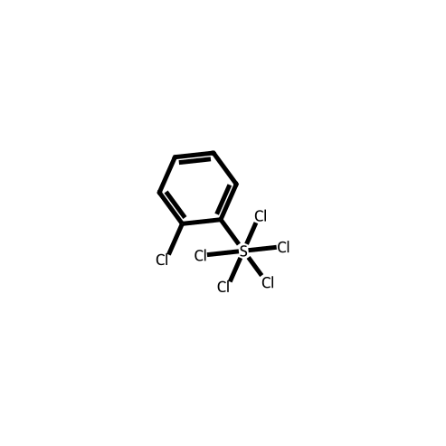 Clc1ccccc1S(Cl)(Cl)(Cl)(Cl)Cl